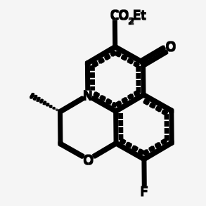 CCOC(=O)c1cn2c3c(c(F)ccc3c1=O)OC[C@@H]2C